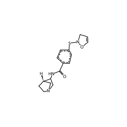 O=C(NC1CN2CC[C@H]1C2)c1ccc(SN2CC=CO2)cc1